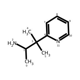 CC(N)C(C)(C)c1ccccn1